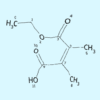 CCOC(=O)C(C)=C(C)C(=O)O